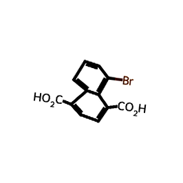 O=C(O)c1ccc(C(=O)O)c2c(Br)cccc12